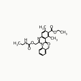 CCNC(=O)OCc1nc2cc(C)c(C(=O)OCC)c(C)c2c(=O)n1-c1ccccc1F